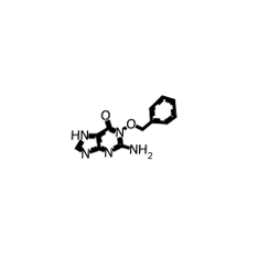 Nc1nc2nc[nH]c2c(=O)n1OCc1ccccc1